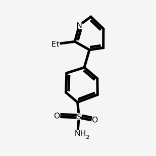 CCc1ncccc1-c1ccc(S(N)(=O)=O)cc1